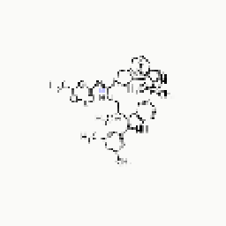 Cc1cc(C)cc(-c2[nH]c3ccc(C(C)(C)C(=O)N4CC5CCC4CC5)cc3c2[C@H](C)CN/C(=N\C(=O)OC(C)C)N2CCC(c3ccncc3)C2)c1